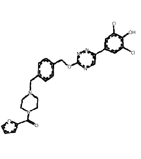 O=C(c1ccco1)N1CCN(Cc2ccc(COc3ncc(-c4cc(Cl)c(O)c(Cl)c4)nn3)cc2)CC1